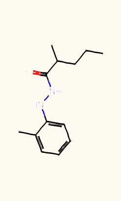 CCCC(C)C(=O)NNc1ccccc1C